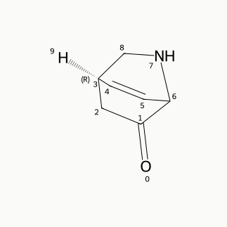 O=C1C[C@@H]2C=CC1NC2